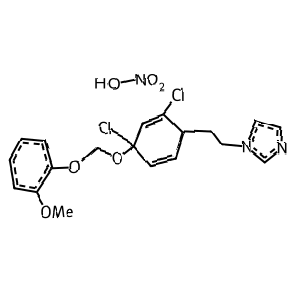 COc1ccccc1OCOC1(Cl)C=CC(CCn2ccnc2)C(Cl)=C1.O=[N+]([O-])O